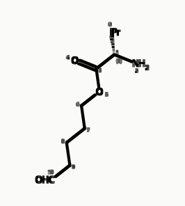 CC(C)[C@H](N)C(=O)OCCCCC=O